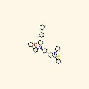 c1ccc(-c2ccc(-c3ccc(N(c4ccc(-c5ccc6c7c8ccccc8sc7n(-c7ccccc7)c6c5)cc4)c4cccc5c4oc4ccccc45)cc3)cc2)cc1